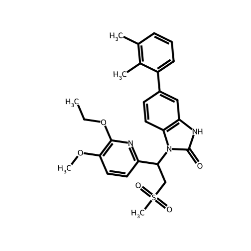 CCOc1nc(C(CS(C)(=O)=O)n2c(=O)[nH]c3cc(-c4cccc(C)c4C)ccc32)ccc1OC